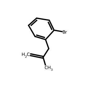 C=C(C)Cc1ccccc1Br